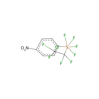 O=[N+]([O-])c1ccc(S(F)(F)(F)(F)C(F)(F)C(F)(F)Cl)cc1